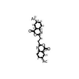 CC(=O)c1ccc2nc(CCc3nc4ccc(C(C)=O)cc4c(=O)o3)oc(=O)c2c1